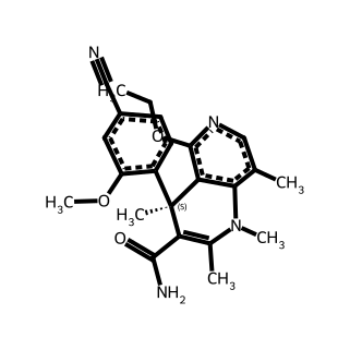 CCOc1ncc(C)c2c1[C@](C)(c1ccc(C#N)cc1OC)C(C(N)=O)=C(C)N2C